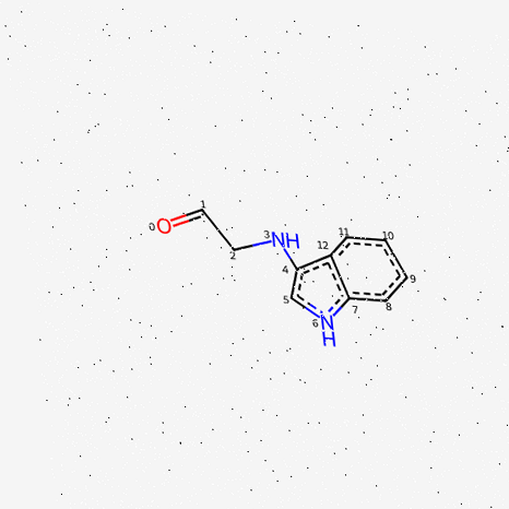 O=[C]CNc1c[nH]c2ccccc12